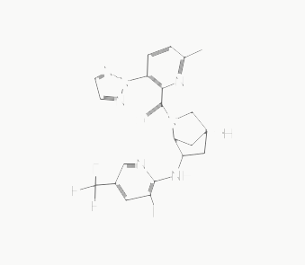 Cc1ccc(-n2nccn2)c(C(=O)N2C[C@H]3CC(Nc4ncc(C(F)(F)F)cc4F)C2C3)n1